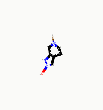 O=[N+]1C=c2cc[n+]([S-])cc2=N1